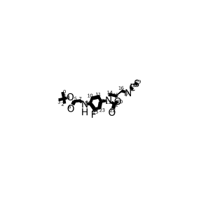 CC(C)(C)OC(=O)CNc1ccc(N2C[C@@H](CN=C=S)OC2=O)cc1F